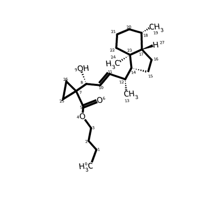 CCCCOC(=O)C1([C@H](O)/C=C/[C@@H](C)[C@H]2CC[C@H]3[C@@H](C)CCC[C@]23C)CC1